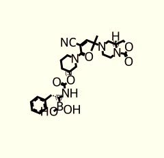 CC(C)(C=C(C#N)C(=O)N1CCC[C@H](OC(=O)N[C@@H](Cc2ccccc2)B(O)O)C1)N1CCN2C(=O)OC[C@@H]2C1